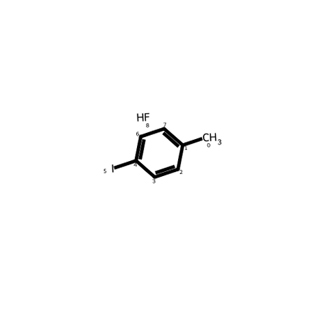 Cc1ccc(I)cc1.F